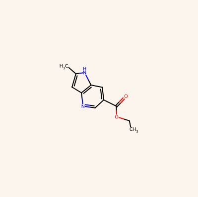 CCOC(=O)c1cnc2cc(C)[nH]c2c1